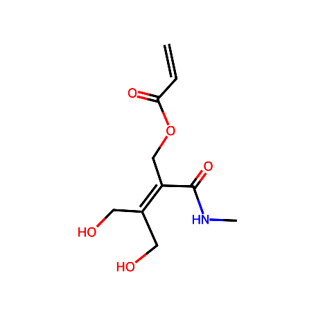 C=CC(=O)OCC(C(=O)NC)=C(CO)CO